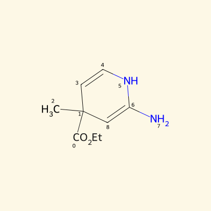 CCOC(=O)C1(C)C=CNC(N)=C1